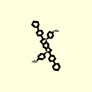 CCCCc1ccc(-n2c(-c3ccc(-c4ccccc4)cc3)cc3cc4c(cc(-c5ccc(-c6ccccc6)cc5)n4-c4ccc(CCCC)cc4)cc32)cc1